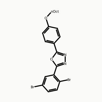 CCCCCCCCOc1ccc(-c2nnc(-c3cc(Br)ccc3Br)o2)cc1